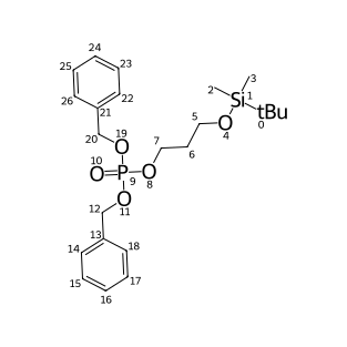 CC(C)(C)[Si](C)(C)OCCCOP(=O)(OCc1ccccc1)OCc1ccccc1